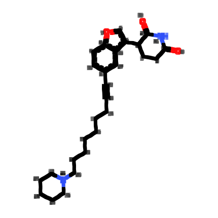 O=C1CCC(c2coc3ccc(C#CCCCCCCCN4CCCCC4)cc23)C(=O)N1